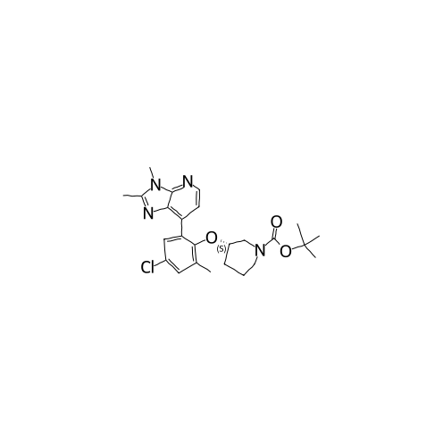 Cc1cc(Cl)cc(-c2ccnc3c2nc(C)n3C)c1O[C@H]1CCCN(C(=O)OC(C)(C)C)C1